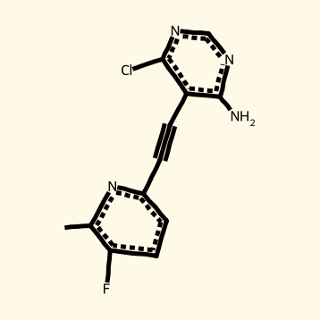 Cc1nc(C#Cc2c(N)ncnc2Cl)ccc1F